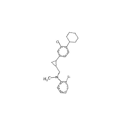 CCc1ccccc1N(C)CC1CC1c1ccc(C2CCCCC2)c(Cl)c1